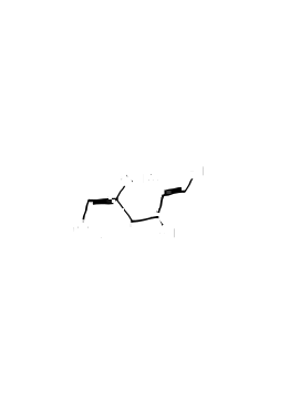 CC=C[C@@H](C)CC(=CC(=O)O)NC(C)=O